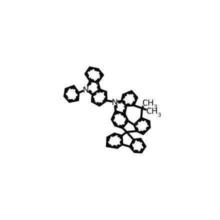 CC1(C)c2cccc3c2-c2c(ccc4c2c2c1cccc2n4-c1ccc2c(c1)c1ccccc1n2-c1ccccc1)C31c2ccccc2-c2ccccc21